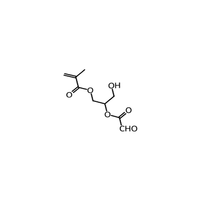 C=C(C)C(=O)OCC(CO)OC(=O)C=O